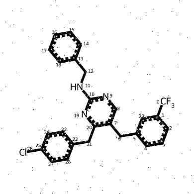 FC(F)(F)c1cccc(Cc2cnc(NCc3ccccc3)nc2Cc2ccc(Cl)cc2)c1